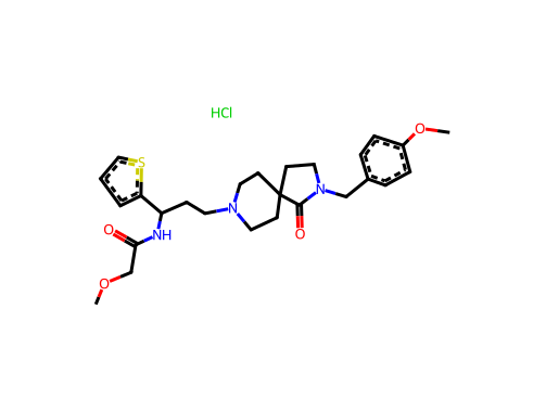 COCC(=O)NC(CCN1CCC2(CC1)CCN(Cc1ccc(OC)cc1)C2=O)c1cccs1.Cl